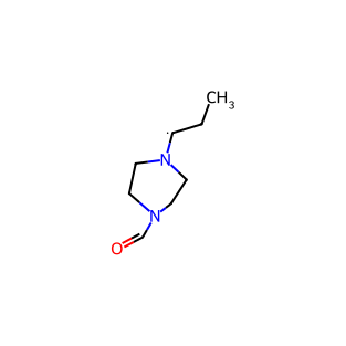 CC[CH]N1CCN(C=O)CC1